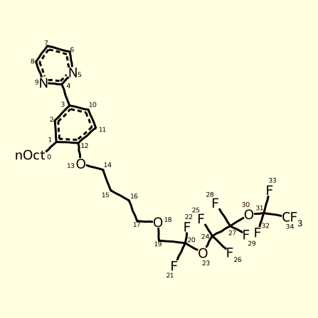 CCCCCCCCc1cc(-c2ncccn2)ccc1OCCCCOCC(F)(F)OC(F)(F)C(F)(F)OC(F)(F)C(F)(F)F